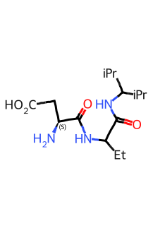 CCC(NC(=O)[C@@H](N)CC(=O)O)C(=O)NC(C(C)C)C(C)C